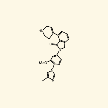 COc1cc(N2Cc3cccc(C4=CCNCC4)c3C2=O)ccc1-n1cnc(C)c1